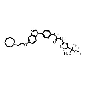 CC(C)(C)c1cc(NC(=O)Nc2ccc(-n3cnc4cc(OCCN5CCCCCC5)ccc43)cc2)no1